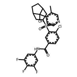 Cc1cnccc1C1(O)C2CCC1CC(S(=O)(=O)c1cc(C(=O)Nc3cc(F)c(F)c(F)c3)ccc1Cl)C2